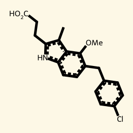 COc1c(Cc2ccc(Cl)cc2)ccc2[nH]c(CCC(=O)O)c(C)c12